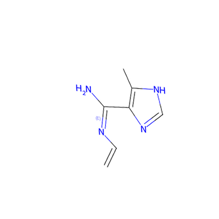 C=C/N=C(/N)c1nc[nH]c1C